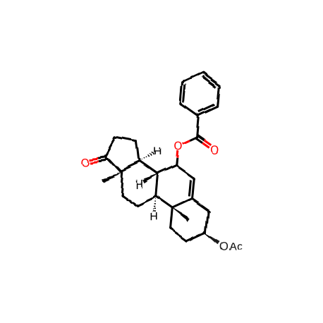 CC(=O)O[C@H]1CC[C@@]2(C)C(=CC(OC(=O)c3ccccc3)[C@@H]3[C@@H]2CC[C@]2(C)C(=O)CC[C@@H]32)C1